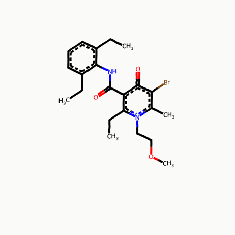 CCc1cccc(CC)c1NC(=O)c1c(CC)n(CCOC)c(C)c(Br)c1=O